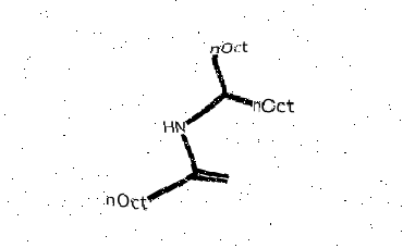 C=C(CCCCCCCC)NC(CCCCCCCC)CCCCCCCC